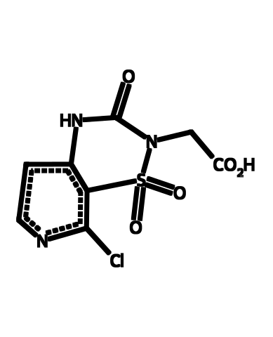 O=C(O)CN1C(=O)Nc2ccnc(Cl)c2S1(=O)=O